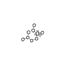 c1ccc(-c2cc(-c3ccccc3)cc(-c3cccc(-c4cccc(-c5nc(-c6cccc(-c7ccccc7)c6)nc6c5oc5ccccc56)c4)c3)c2)cc1